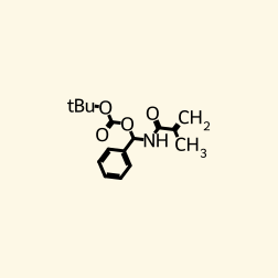 C=C(C)C(=O)NC(OC(=O)OC(C)(C)C)c1ccccc1